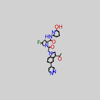 CC(=O)c1cn(CC(=O)N2C[C@H](F)C[C@H]2C(=O)Nc2cccc(O)n2)c2ccc(-c3ccnnc3)cc12